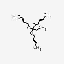 C/C=C/COC(CC)(OC/C=C/C)OC/C=C/C